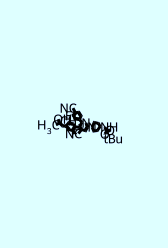 CC(C)(O)Cc1ccc(-c2c(C#N)cc(N3CCC(NC(=O)OC(C)(C)C)CC3)nc2-c2ccc(C#N)c(F)c2)c(F)c1